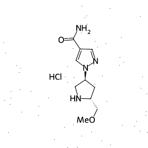 COC[C@H]1C[C@H](n2cc(C(N)=O)cn2)CN1.Cl